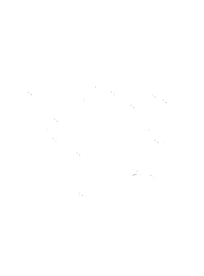 CN(C[C@H]1CC[C@H](n2cc(NC(=O)c3cnn4ccc(N5CC(F)(F)C5)nc34)c(C(F)F)n2)CC1)C1CCN(c2cccc3c2n(C)c(=O)n3C2CCC(=O)NC2=O)CC1